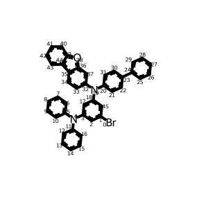 Brc1cc(N(c2ccccc2)c2ccccc2)cc(N(c2ccc(-c3ccccc3)cc2)c2ccc3c(c2)oc2ccccc23)c1